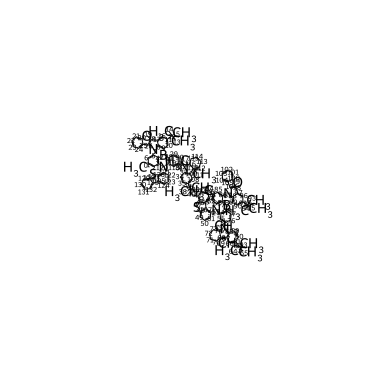 Cc1cc2c3c(c1)-n1c4c(cc(C(C)(C)C)cc4c4oc5ccccc5c41)B3c1ccc(N3c4ccc(C(C)(C)Cc5cccc6c5sc5cccc(N7c8cc(N9c%10ccc(C(C)(C)C)cc%10C%10(C)CCCCC9%10C)ccc8B8c9c7cc(C)cc9-n7c9c8cc(C(C)(C)C)cc9c8oc9ccccc9c87)c56)cc4C4(C)CCCCC34C)cc1N2c1cccc2c1sc1ccccc12